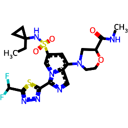 CCC1(NS(=O)(=O)c2cc(N3CCOC(C(=O)NC)C3)c3cnc(-c4nnc(C(F)F)s4)n3c2)CC1